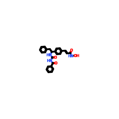 O=C(C=Cc1ccc(C(Cc2ccccc2)NC(=O)NC(=O)c2ccccc2)cc1)NO